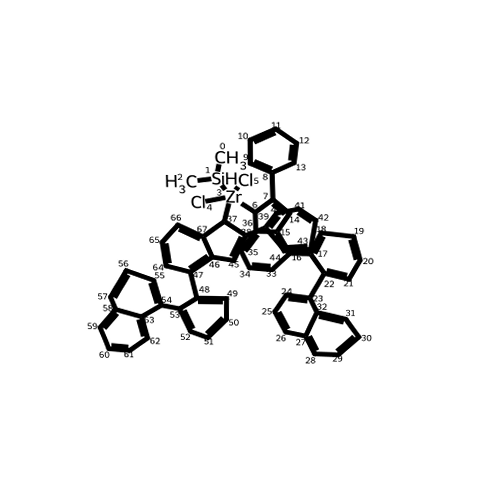 C[SiH](C)[Zr]([Cl])([Cl])([CH]1C(c2ccccc2)=Cc2c(-c3ccccc3-c3cccc4ccccc34)cccc21)[CH]1C(c2ccccc2)=Cc2c(-c3ccccc3-c3cccc4ccccc34)cccc21